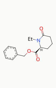 CCN1C(=O)CCC[C@H]1C(=O)OCc1ccccc1